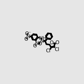 O=C1OC(CC(=NNc2ccc([N+](=O)[O-])cc2[N+](=O)[O-])c2ccccc2)C(Cl)=C1Cl